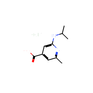 Cc1cc(C(=O)O)cc(NC(C)C)n1.Cl